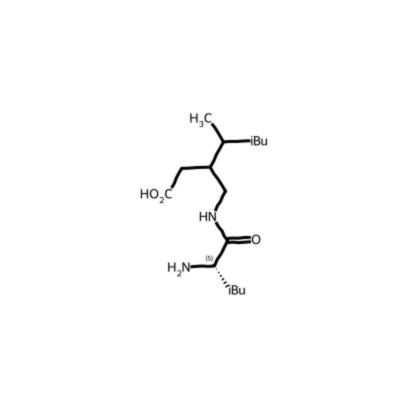 CCC(C)C(C)C(CNC(=O)[C@@H](N)C(C)CC)CC(=O)O